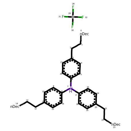 CCCCCCCCCCCCc1ccc([IH+](c2ccc(CCCCCCCCCCCC)cc2)c2ccc(CCCCCCCCCCCC)cc2)cc1.F[B-](F)(F)F